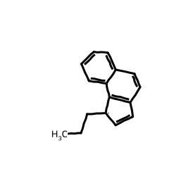 CCC[C]1C=Cc2ccc3ccccc3c21